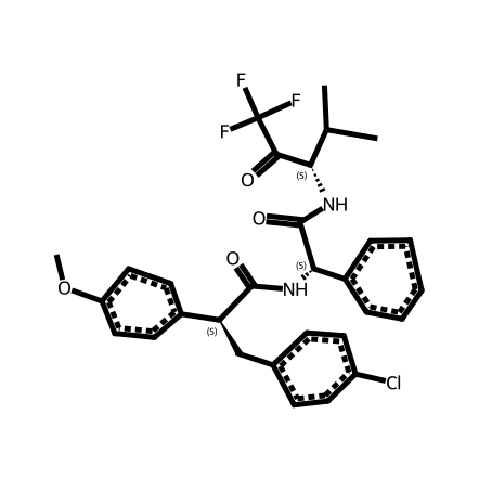 COc1ccc([C@H](Cc2ccc(Cl)cc2)C(=O)N[C@H](C(=O)N[C@H](C(=O)C(F)(F)F)C(C)C)c2ccccc2)cc1